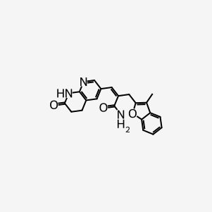 Cc1c(CC(=Cc2cnc3c(c2)CCC(=O)N3)C(N)=O)oc2ccccc12